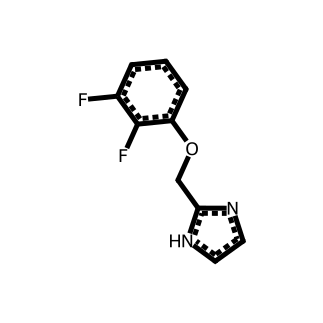 Fc1cccc(OCc2ncc[nH]2)c1F